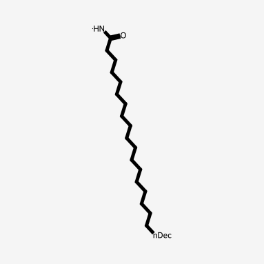 CCCCCCCCCCCCCCCCCCCCCCCCCCCC([NH])=O